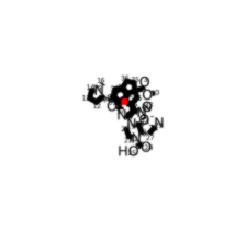 COC(=O)C1(Cc2nc(OC[C@@H]3CCCN3C)nc(N3CCN(C(=O)O)[C@@H](CC#N)C3)c2[N+](=O)[O-])CCc2ccccc21